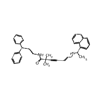 C[C@@H](NC/C=C/C#CC(C)(C)C(=O)NCCC(c1ccccc1)c1ccccc1)c1cccc2ccccc12